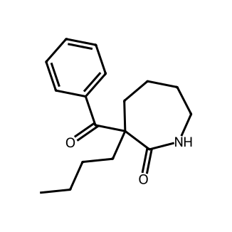 CCCCC1(C(=O)c2ccccc2)CCCCNC1=O